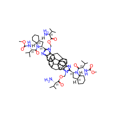 COC(=O)N[C@H](C(=O)N1[C@H](c2nc3ccc(-c4cc5ccc4CCc4ccc(c(-c6ccc7nc([C@@H]8C[C@@H]9CCCC[C@@H]9N8C(=O)[C@@H](NC(=O)OC)C(C)C)n(COC(=O)[C@@H](N)C(C)C)c7c6)c4)CC5)cc3n2COC(=O)[C@@H](N)C(C)C)C[C@@H]2CCCC[C@@H]21)C(C)C